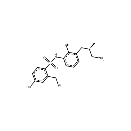 CC(C)Cc1cc(O)ccc1S(=O)(=O)Nc1cccc(C[C@@H](C)CN)c1O